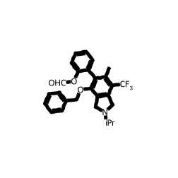 Cc1c(-c2ccccc2OC=O)c(OCc2ccccc2)c2c(c1C(F)(F)F)CN(C(C)C)C2